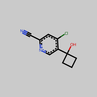 N#Cc1cc(Cl)c(C2(O)CCC2)cn1